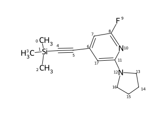 C[Si](C)(C)C#Cc1cc(F)nc(N2CCCC2)c1